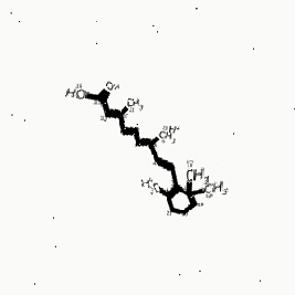 CC1=C(/C=C/C(C)=C/C=C/C(C)=C/C(=O)O)C(C)(C)CCC1.[H+]